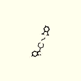 O=C1c2ccc(F)cc2C(=O)N1CCN1CCC(c2noc3cc(F)ccc23)CC1